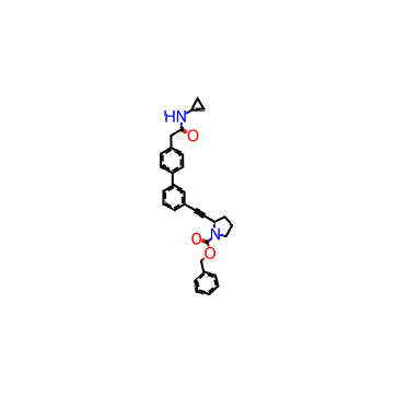 O=C(Cc1ccc(-c2cccc(C#CC3CCCN3C(=O)OCc3ccccc3)c2)cc1)NC1CC1